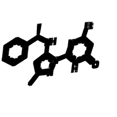 CCc1cc(=O)[nH]c(-n2nc(C)cc2N[C@H](C)c2ccccc2)n1